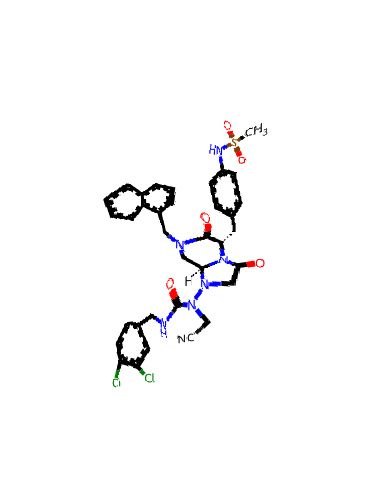 CS(=O)(=O)Nc1ccc(C[C@H]2C(=O)N(Cc3cccc4ccccc34)C[C@H]3N2C(=O)CN3N(CC#N)C(=O)NCc2ccc(Cl)c(Cl)c2)cc1